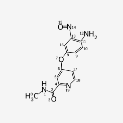 CNC(=O)c1cc(Oc2ccc(N)c(N=O)c2)ccn1